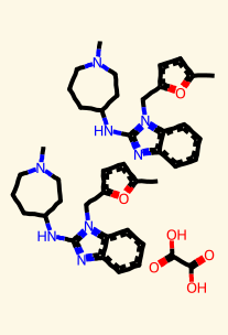 Cc1ccc(Cn2c(NC3CCCN(C)CC3)nc3ccccc32)o1.Cc1ccc(Cn2c(NC3CCCN(C)CC3)nc3ccccc32)o1.O=C(O)C(=O)O